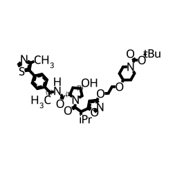 Cc1ncsc1-c1ccc([C@H](C)NC(=O)[C@@H]2C[C@@H](O)CN2C(=O)C(c2cc(OCCOC3CCN(C(=O)OC(C)(C)C)CC3)no2)C(C)C)cc1